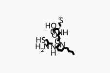 CCCCc1ccc(NCC(N)CS)c(OCC(=O)N[C@@H](CCSC)C(=O)O)n1